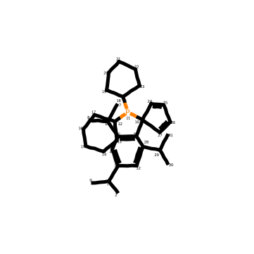 CC(C)c1cc(C(C)C)c(C2(P(C3CCCCC3)C3CCCCC3)C=CC=C2)c(C(C)C)c1